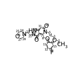 CCOCCCn1c(COc2ccc(F)cc2)c2c(=O)n(CCN3CCOCC3)[nH]c2cc1=O